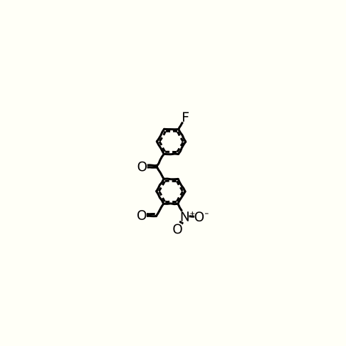 O=Cc1cc(C(=O)c2ccc(F)cc2)ccc1[N+](=O)[O-]